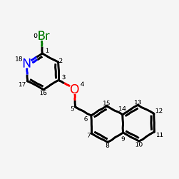 Brc1cc(OCc2ccc3ccccc3c2)ccn1